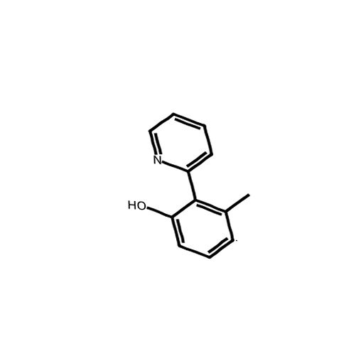 Cc1[c]ccc(O)c1-c1ccccn1